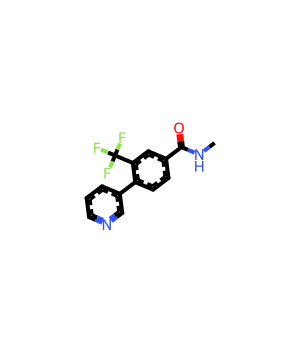 CNC(=O)c1ccc(-c2cccnc2)c(C(F)(F)F)c1